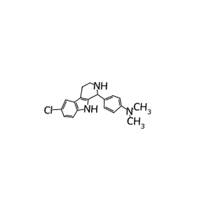 CN(C)c1ccc(C2NCCc3c2[nH]c2ccc(Cl)cc32)cc1